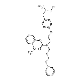 CCOC(Cc1ccc(OCCN(CCCSc2ccccc2)C(=O)Oc2ccccc2OC(F)(F)F)cc1)C(=O)O